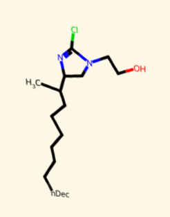 CCCCCCCCCCCCCCCCC(C)C1CN(CCO)C(Cl)=N1